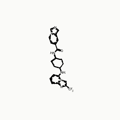 O=C(NC1CCC(Nc2cccc3nc(C(F)(F)F)cn23)CC1)c1ccn2cncc2c1